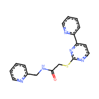 O=C(CSc1nccc(-c2ccccn2)n1)NCc1ccccn1